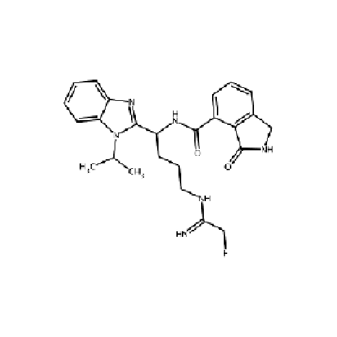 CC(C)n1c(C(CCCNC(=N)CF)NC(=O)c2cccc3c2C(=O)NC3)nc2ccccc21